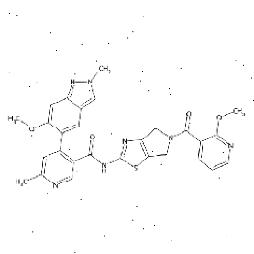 COc1cc2nn(C)cc2cc1-c1cc(C)ncc1C(=O)Nc1nc2c(s1)CN(C(=O)c1cccnc1OC)C2